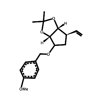 C=C[C@H]1CC(OCc2ccc(OC)cc2)[C@@H]2OC(C)(C)O[C@H]12